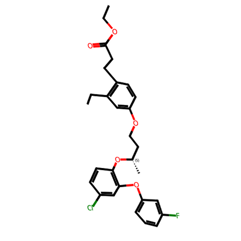 CCOC(=O)CCc1ccc(OCC[C@H](C)Oc2ccc(Cl)cc2Oc2cccc(F)c2)cc1CC